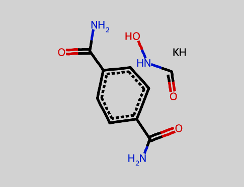 NC(=O)c1ccc(C(N)=O)cc1.O=CNO.[KH]